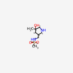 CC1(O)CNCC(CNS(C)(=O)=O)C1